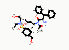 COC(=O)N(C(=O)[C@@H](N)C(c1ccccc1)c1ccccc1)[C@@H](C)CCC[C@@H](CO)N(CC(C)C)S(=O)(=O)c1ccc(CO)cc1